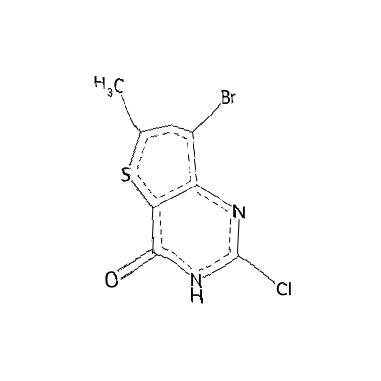 Cc1sc2c(=O)[nH]c(Cl)nc2c1Br